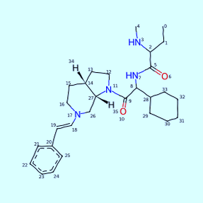 CCC(NC)C(=O)NC(C(=O)N1CC[C@H]2CCN(C=Cc3ccccc3)C[C@H]21)C1CCCCC1